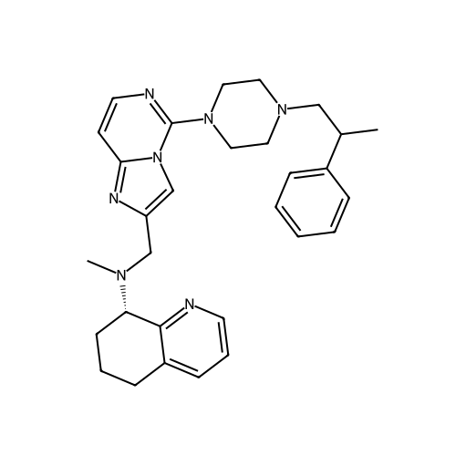 CC(CN1CCN(c2nccc3nc(CN(C)[C@H]4CCCc5cccnc54)cn23)CC1)c1ccccc1